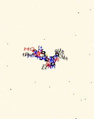 CCC(=O)Nc1ccc(CN2C(=O)N(c3cc(OC)cc(OC)c3)Cc3cnc(Nc4ccc(N5CCN(CC(=O)NC(C(=O)N6C[C@H](O)C[C@H]6C(=O)NC(C)c6ccc(-c7scnc7C)cc6)C(C)(C)C)CC5)cc4)nc32)cc1